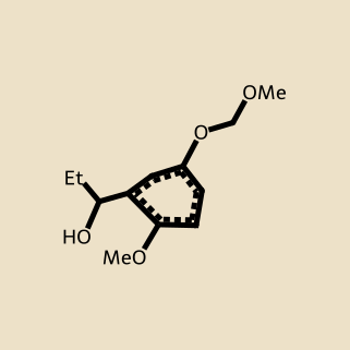 CCC(O)c1cc(OCOC)ccc1OC